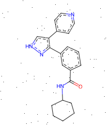 O=C(NC1CCCCC1)c1cccc(-c2n[nH]cc2-c2ccncc2)c1